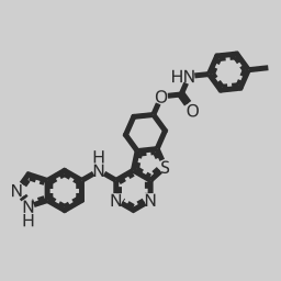 Cc1ccc(NC(=O)OC2CCc3c(sc4ncnc(Nc5ccc6[nH]ncc6c5)c34)C2)cc1